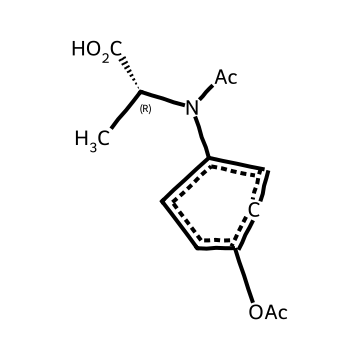 CC(=O)Oc1ccc(N(C(C)=O)[C@H](C)C(=O)O)cc1